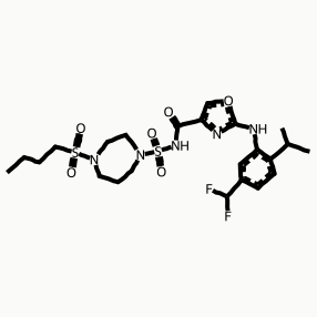 CCCCS(=O)(=O)N1CCCN(S(=O)(=O)NC(=O)c2coc(Nc3cc(C(F)F)ccc3C(C)C)n2)CC1